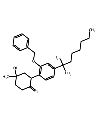 CCCCCCC(C)(C)c1ccc(C2CC(C)(O)CCC2=O)c(OCc2ccccc2)c1